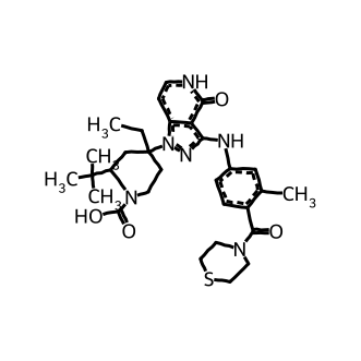 CCC1(n2nc(Nc3ccc(C(=O)N4CCSCC4)c(C)c3)c3c(=O)[nH]ccc32)CCN(C(=O)O)C(C(C)(C)C)C1